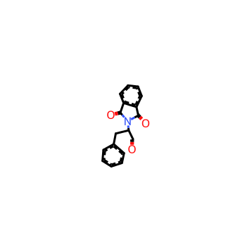 O=CC(Cc1ccccc1)N1C(=O)c2ccccc2C1=O